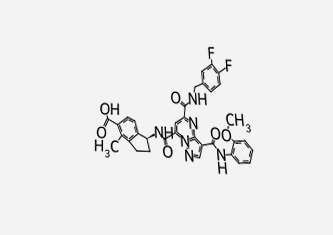 COc1ccccc1NC(=O)c1cnn2c(C(=O)N[C@H]3CCc4c3ccc(C(=O)O)c4C)cc(C(=O)NCc3ccc(F)c(F)c3)nc12